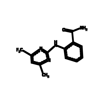 Cc1cc(C(F)(F)F)nc(Nc2ccccc2C(N)=O)n1